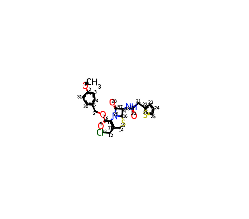 COc1ccc(COC(=O)C2=C(CCl)CSC3[C@H](NC(=O)Cc4cccs4)C(=O)N23)cc1